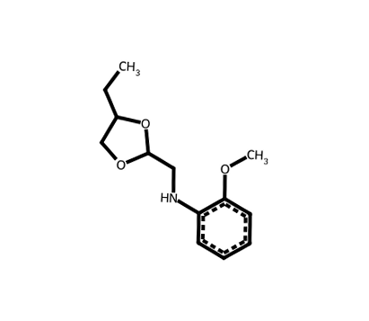 CCC1COC(CNc2ccccc2OC)O1